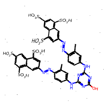 Cc1cc(Nc2nc(O)nc(Nc3ccc(/N=N/c4cc(S(=O)(=O)O)c5cc(S(=O)(=O)O)cc(S(=O)(=O)O)c5c4)c(C)c3)n2)ccc1/N=N/c1cc(S(=O)(=O)O)c2cc(S(=O)(=O)O)cc(S(=O)(=O)O)c2c1